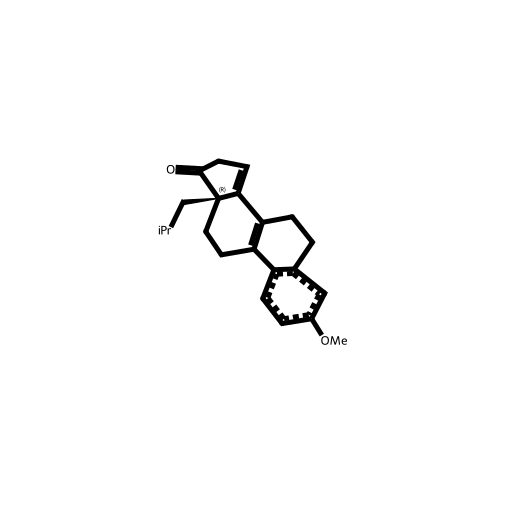 COc1ccc2c(c1)CCC1=C2CC[C@]2(CC(C)C)C(=O)CC=C12